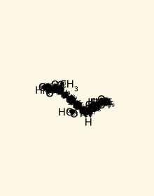 COc1cc(N2CC(N3CCN(c4ccc(-c5cnc6[nH]cc(C(=O)c7c(F)ccc(NS(=O)(=O)N8CC[C@@H](F)C8)c7F)c6c5)cc4)CC3)C2)cc2c1C(=O)N(C1CCC(=O)NC1=O)C2.O=CO